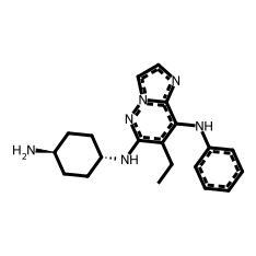 CCc1c(N[C@H]2CC[C@H](N)CC2)nn2ccnc2c1Nc1ccccc1